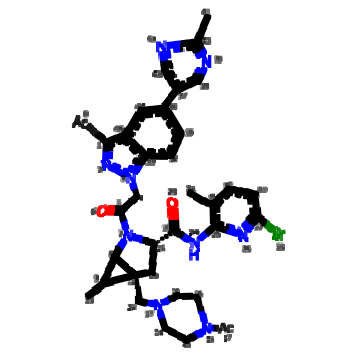 CC(=O)c1nn(CC(=O)N2C3C(C)[C@@]3(CN3CCN(C(C)=O)CC3)C[C@H]2C(=O)Nc2nc(Br)ccc2C)c2ccc(-c3cnc(C)nc3)cc12